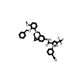 COc1cccc(N(Cc2cccc(NC(=O)c3cc(C(F)(F)F)nn3-c3cccc(C#N)c3)c2)CC2CC2)c1OCc1ccccc1